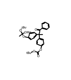 COC(C)(Oc1ccc(C(C)(C(=O)c2ccccc2)c2ccc(OC(=O)OC(C)(C)C)cc2)cc1)OC(C)(C)C